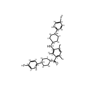 Cc1cc(C)c(C(=O)N2CCN(c3ccc(F)cn3)CC2)c(C)c1NC1CCN(c2ccc(F)cn2)CC1